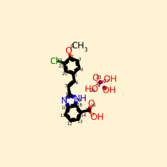 COc1ccc(C=Cc2nc3cccc(C(=O)O)c3[nH]2)cc1Cl.O=P(O)(O)O